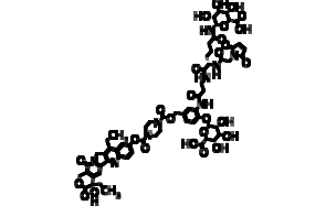 CCc1c2c(nc3ccc(OC(=O)N4CCN(C(=O)OCc5ccc(O[C@@H]6O[C@H](C(=O)O)[C@@H](O)[C@H](O)[C@H]6O)c(NC(=O)CCNC(=O)[C@H](CCCC(=O)N[C@H]6O[C@H](C(=O)O)[C@@H](O)[C@H](O)[C@H]6O)NC(=O)CN6C(=O)C=CC6=O)c5)CC4)cc13)-c1cc3c(c(=O)n1C2)COC(=O)[C@]3(O)CC